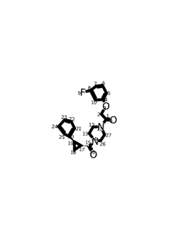 O=C(COc1cccc(F)c1)N1CCN(C(=O)[C@@H]2C[C@H]2c2ccccc2)CC1